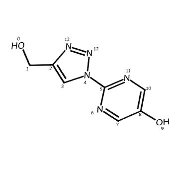 OCc1cn(-c2ncc(O)cn2)nn1